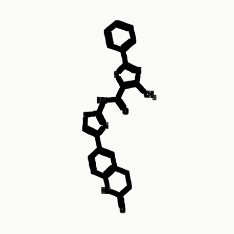 Cc1nc(-c2ccccc2)sc1C(=O)Nc1nc(-c2ccc3c(c2)CCC(=O)N3)cs1